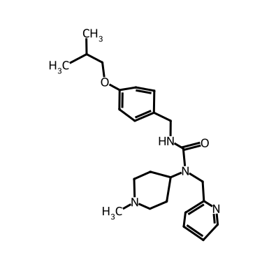 CC(C)COc1ccc(CNC(=O)N(Cc2ccccn2)C2CCN(C)CC2)cc1